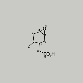 CC1CC2OC2CC1CC(=O)O